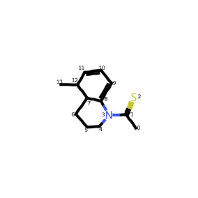 CC(=S)N1CCCC2C1=CC=CC2C